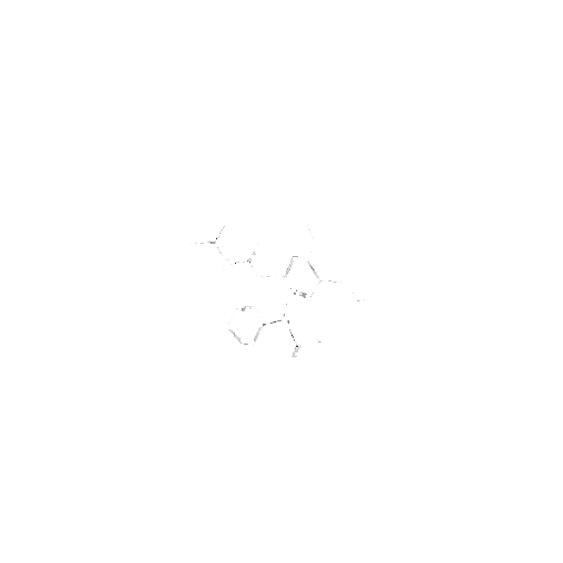 CCOc1ccc(NC(=O)OC(C)C)cc1OCC.O=C(O)Nc1ccccc1